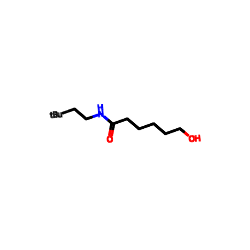 CC(C)(C)CCNC(=O)CCCCCO